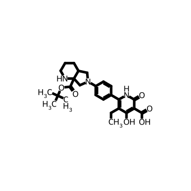 CCc1c(-c2ccc(N3CC4CCCNC4(C(=O)OC(C)(C)C)C3)cc2)[nH]c(=O)c(C(=O)O)c1O